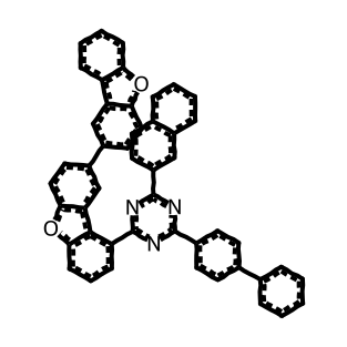 c1ccc(-c2ccc(-c3nc(-c4ccc5ccccc5c4)nc(-c4cccc5oc6ccc(-c7ccc8oc9ccccc9c8c7)cc6c45)n3)cc2)cc1